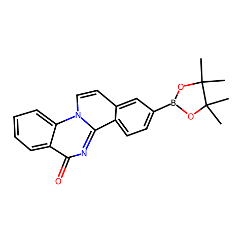 CC1(C)OB(c2ccc3c(ccn4c5ccccc5c(=O)nc34)c2)OC1(C)C